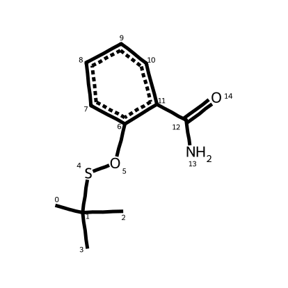 CC(C)(C)SOc1ccccc1C(N)=O